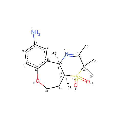 CC1=N[C@]2(C)c3cc(N)ccc3OCC[C@@H]2S(=O)(=O)C1(C)C